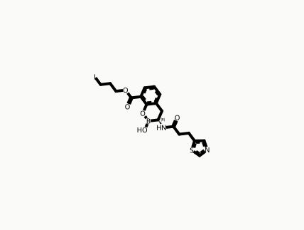 O=C(CCc1cncs1)N[C@H]1Cc2cccc(C(=O)OCCCI)c2OB1O